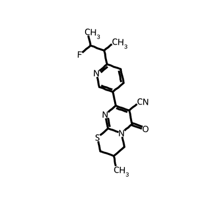 CC1CSc2nc(-c3ccc(C(C)C(C)F)nc3)c(C#N)c(=O)n2C1